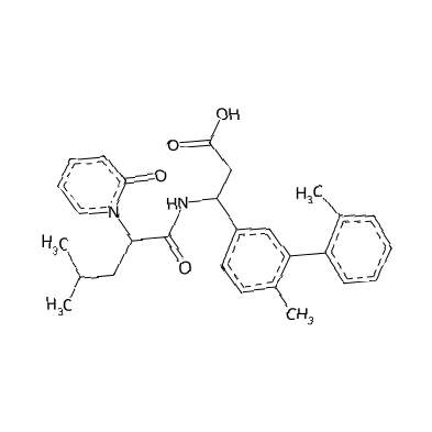 Cc1ccccc1-c1cc(C(CC(=O)O)NC(=O)C(CC(C)C)n2ccccc2=O)ccc1C